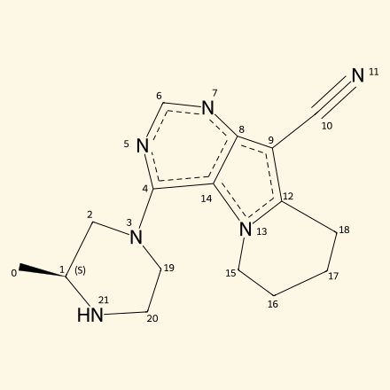 C[C@H]1CN(c2ncnc3c(C#N)c4n(c23)CCCC4)CCN1